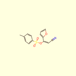 Cc1ccc(S(=O)(=O)OC(=CC#N)c2ccco2)cc1